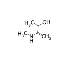 C=C(NC)C(C)O